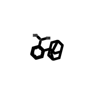 OB(O)c1ccccc1C12CC3CC(CC(C3)C1)C2